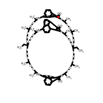 CCC12CCCC(C)Nc3ccc4c5c(cccc35)C(=O)N(C4=O)C(C)COCC(CC)(COCC(C)OCC(C)N3C(=O)c4cccc5c(ccc(c45)C3=O)NC(C)COC(C)COC1)COCC(C)OCC(C)N1C(=O)c3cccc4c(ccc(c34)C1=O)NC(C)COC(C)COC2